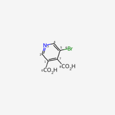 O=C(O)c1cncc(Br)c1C(=O)O